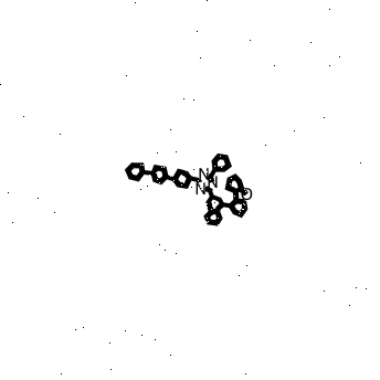 C1=c2ccccc2=C(c2cccc3oc4ccccc4c23)CC1c1nc(-c2ccccc2)nc(-c2ccc(-c3ccc(-c4ccccc4)cc3)cc2)n1